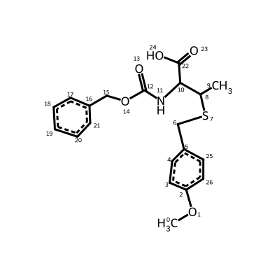 COc1ccc(CSC(C)C(NC(=O)OCc2ccccc2)C(=O)O)cc1